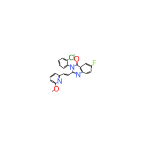 COc1cccc(/C=C/c2nc3ccc(F)cc3c(=O)n2-c2ccccc2Cl)n1